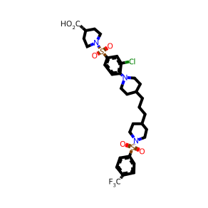 O=C(O)C1CCN(S(=O)(=O)c2ccc(N3CCC(CCCC4CCN(S(=O)(=O)c5ccc(C(F)(F)F)cc5)CC4)CC3)c(Cl)c2)CC1